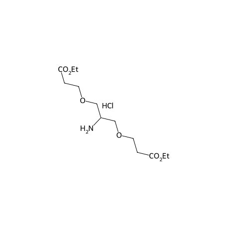 CCOC(=O)CCOCC(N)COCCC(=O)OCC.Cl